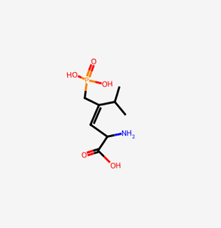 CC(C)/C(=C\C(N)C(=O)O)CP(=O)(O)O